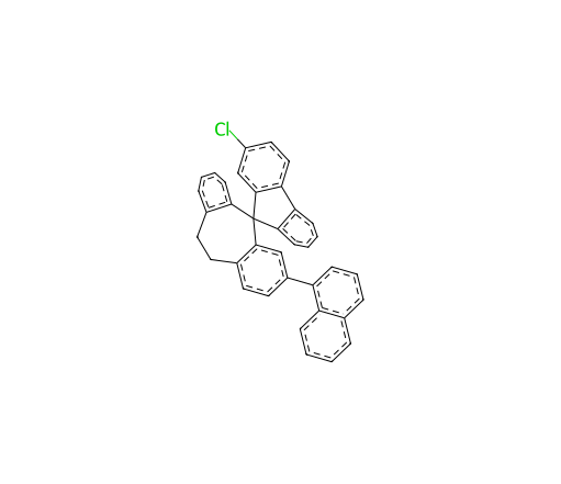 Clc1ccc2c(c1)C1(c3ccccc3CCc3ccc(-c4cccc5ccccc45)cc31)c1ccccc1-2